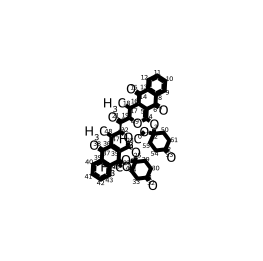 COC1(OC2=C3C(=O)c4ccccc4C(=O)C3C(C)C(C(=O)[C@H]3O[C@H](OC4(OC)CCC(=O)CC4)C4=C(C(=O)c5ccccc5C4=O)C3C)O2)CCC(=O)CC1